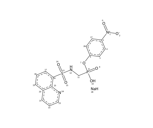 O=[N+]([O-])c1ccc(OP(=O)(O)CNS(=O)(=O)c2cccc3cccnc23)cc1.[NaH]